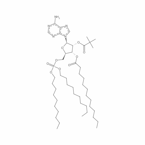 CCCCCCCCCCCCC(=O)O[C@H]1[C@@H](OC(=O)C(C)(C)C)[C@H](n2cnc3c(N)ncnc32)O[C@@H]1COP(=O)(OCCCCCCCCCC)OCCCCCCCCCC